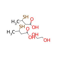 CC(S)CC(=O)O.CC(S)CC(=O)O.OCCO